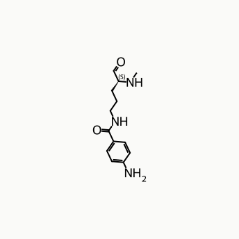 CN[C@H](C=O)CCCNC(=O)c1ccc(N)cc1